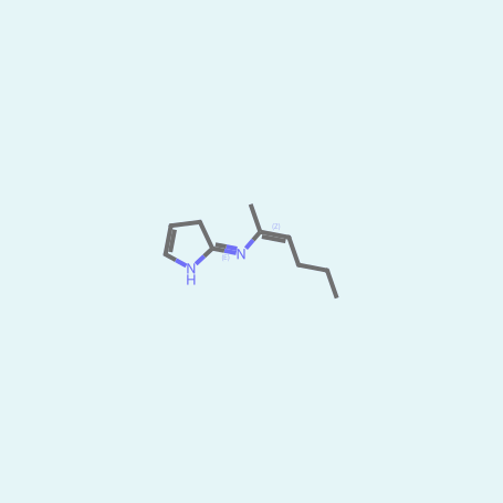 CCC/C=C(C)\N=C1/CC=CN1